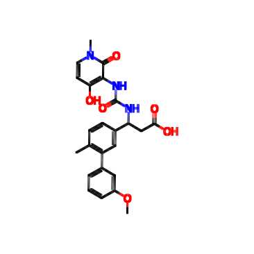 COc1cccc(-c2cc(C(CC(=O)O)NC(=O)Nc3c(O)ccn(C)c3=O)ccc2C)c1